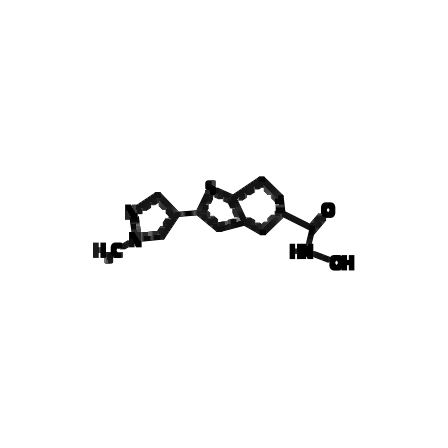 Cn1cc(-c2cc3cc(C(=O)NO)ccc3s2)cn1